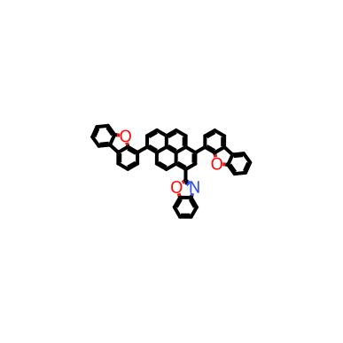 c1ccc2oc(-c3cc(-c4cccc5c4oc4ccccc45)c4ccc5ccc(-c6cccc7c6oc6ccccc67)c6ccc3c4c56)nc2c1